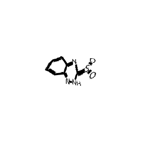 O=S(=O)=c1nc2ccccc2n[nH]1